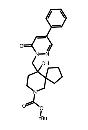 CC(C)(C)OC(=O)N1CCC(O)(Cn2ncc(-c3ccccc3)cc2=O)C2(CCCC2)C1